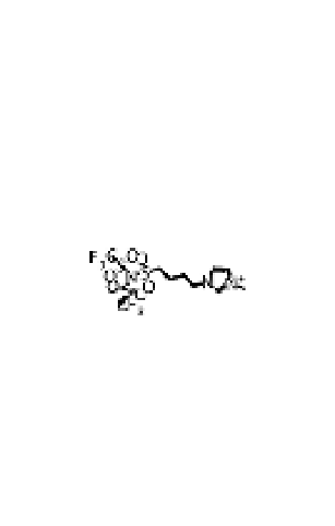 C[n+]1ccn(CCCCS(=O)(=O)N(S(=O)(=O)C(F)(F)F)S(=O)(=O)C(F)(F)F)c1